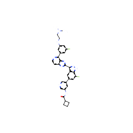 CN(C)CCNc1cc(F)cc(-c2nccc3[nH]c(-c4n[nH]c5c(F)cc(-c6cncc(NC(=O)C7CCC7)c6)cc45)nc23)c1